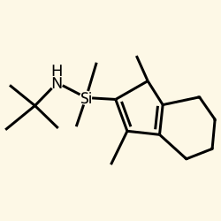 CC1=C([Si](C)(C)NC(C)(C)C)C(C)C2=C1CCCC2